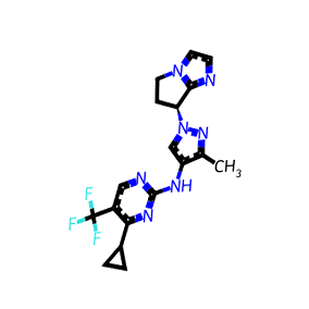 Cc1nn([C@H]2CCn3ccnc32)cc1Nc1ncc(C(F)(F)F)c(C2CC2)n1